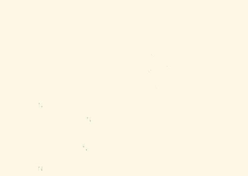 Cc1c(-n2cnc(C#N)c2C#N)cccc1C(C)(C)P(=O)(Oc1ccccc1)Oc1ccccc1